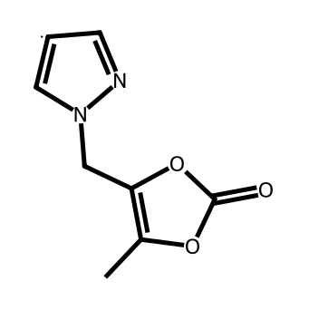 Cc1oc(=O)oc1Cn1c[c]cn1